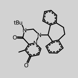 Cc1c2n(ccc1=O)N(C1c3ccccc3CCc3ccccc31)CN(C(C)(C)C)C2=O